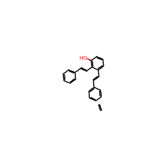 C=C.Oc1cccc(/C=C/c2ccccc2)c1/C=C/c1ccccc1